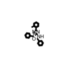 Cc1ccccc1-c1nc(NCc2ccccc2)n(C(=O)c2ccccc2)n1